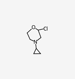 ClC1CN(C2CC2)CCO1